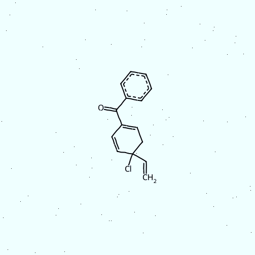 C=CC1(Cl)C=CC(C(=O)c2ccccc2)=CC1